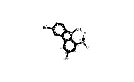 Cn1c2ccc(Br)cc2c2cc(Br)cc([N+](=O)[O-])c21